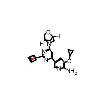 Nc1ncc(-c2cc(N3C[C@@H]4C[C@H]3CO4)nc(N3CC4CC3C4)n2)cc1OC1CC1